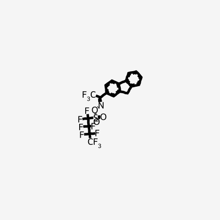 O=S(=O)(ON=C(c1ccc2c(c1)Cc1ccccc1-2)C(F)(F)F)C(F)(F)C(F)(F)C(F)(F)C(F)(F)F